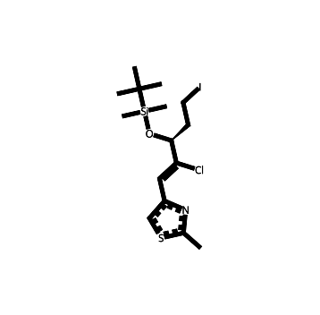 Cc1nc(C=C(Cl)[C@H](CCI)O[Si](C)(C)C(C)(C)C)cs1